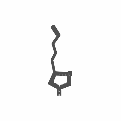 C=CCCCc1c[nH]cn1